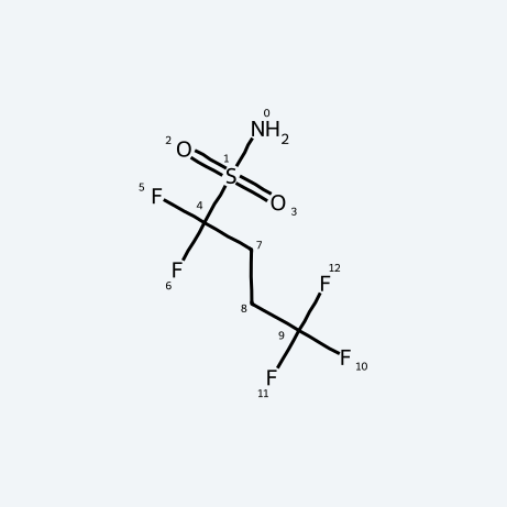 NS(=O)(=O)C(F)(F)CCC(F)(F)F